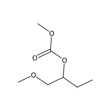 CCC(COC)OC(=O)OC